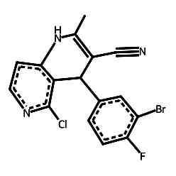 CC1=C(C#N)C(c2ccc(F)c(Br)c2)c2c(ccnc2Cl)N1